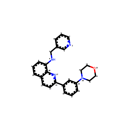 c1cncc(CNc2cccc3ccc(-c4cccc(N5CCOCC5)c4)nc23)c1